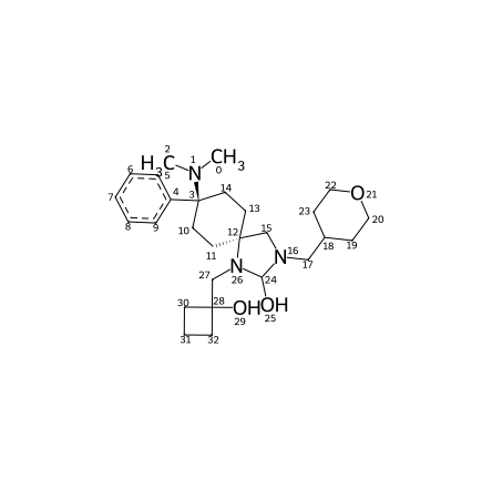 CN(C)[C@]1(c2ccccc2)CC[C@]2(CC1)CN(CC1CCOCC1)C(O)N2CC1(O)CCC1